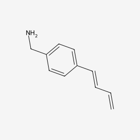 C=CC=Cc1ccc(CN)cc1